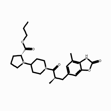 CCCOC(=O)[C@H]1CCCN1C1CCN(C(=O)[C@H](C)Cc2cc(C)c3[nH]c(=O)oc3c2)CC1